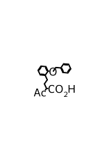 CC(=O)C(CCc1ccccc1OCc1ccccc1)C(=O)O